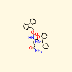 NC(=O)CCC(NC(=O)OCC1c2ccccc2-c2ccccc21)C(=O)NC(c1ccccc1)c1ccccc1